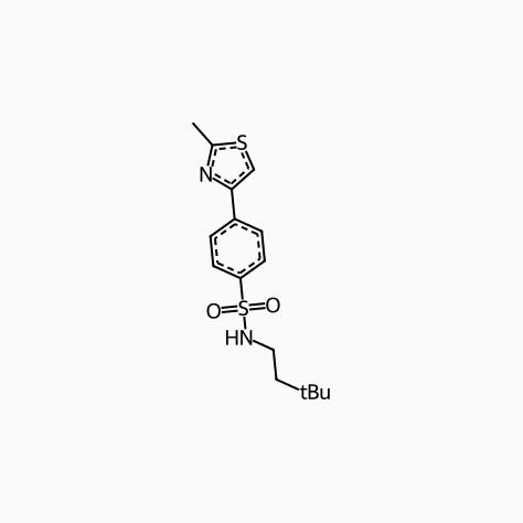 Cc1nc(-c2ccc(S(=O)(=O)NCCC(C)(C)C)cc2)cs1